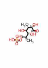 C[C@@H]([C@H](O)[C@H](O)[C@@H](C)COP(=O)(O)O)[C@H](O)C=O